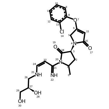 CC1C[C@H](N2CC(Oc3ccccc3Cl)=CC2=O)C(=O)N1C(=N)/C=C\NC[C@@H](O)CO